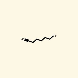 C#CCCCCC[C](C)C